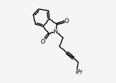 CC(C)CC#CCCN1C(=O)c2ccccc2C1=O